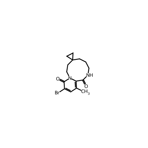 Cc1cc(Br)c(=O)n2c1C(=O)NCCCC1(CC2)CC1